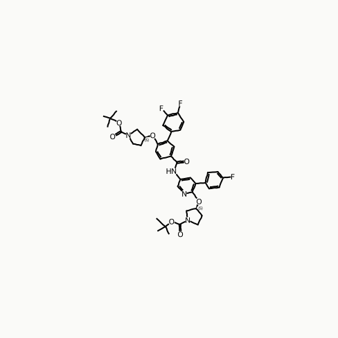 CC(C)(C)OC(=O)N1CC[C@H](Oc2ccc(C(=O)Nc3cnc(O[C@H]4CCN(C(=O)OC(C)(C)C)C4)c(-c4ccc(F)cc4)c3)cc2-c2ccc(F)c(F)c2)C1